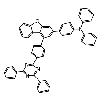 c1ccc(-c2nc(-c3ccccc3)nc(-c3ccc(-c4cc(-c5ccc(N(c6ccccc6)c6ccccc6)cc5)cc5oc6ccccc6c45)cc3)n2)cc1